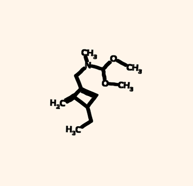 C=C1C(CN(C)C(OC)OC)=CC1CC